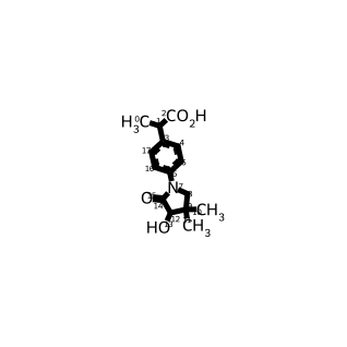 CC(C(=O)O)c1ccc(N2CC(C)(C)C(O)C2=O)cc1